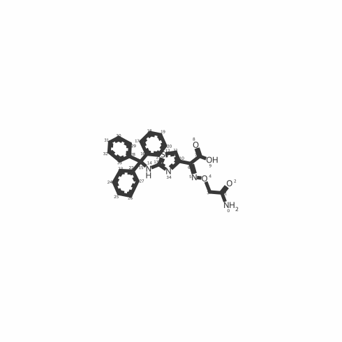 NC(=O)CON=C(C(=O)O)c1csc(NC(c2ccccc2)(c2ccccc2)c2ccccc2)n1